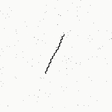 CCCCCCCC[CH]CCCCCCCCCCCCCCC